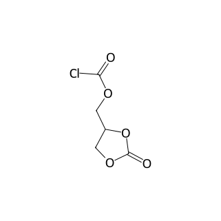 O=C(Cl)OCC1COC(=O)O1